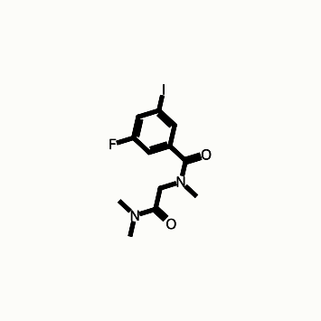 CN(C)C(=O)CN(C)C(=O)c1cc(F)cc(I)c1